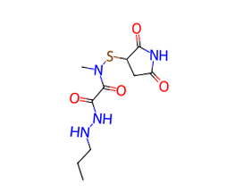 CCCNNC(=O)C(=O)N(C)SC1CC(=O)NC1=O